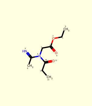 CCOC(=O)CN(C(C)=N)C(=O)CC